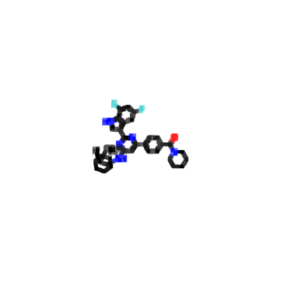 O=C(O)[C@H]1C2CCC(CC2)[C@@H]1Nc1cc(-c2ccc(C(=O)N3CCCCC3)cc2)nc(-c2c[nH]c3c(F)cc(F)cc23)n1